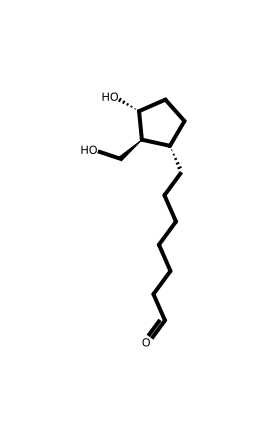 O=CCCCCCC[C@H]1CC[C@@H](O)[C@@H]1CO